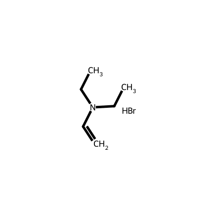 Br.C=CN(CC)CC